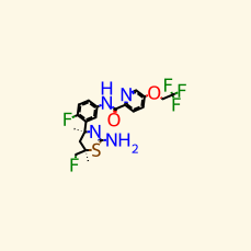 C[C@]1(CF)C[C@@](C)(c2cc(NC(=O)c3ccc(OCC(F)(F)F)cn3)ccc2F)N=C(N)S1